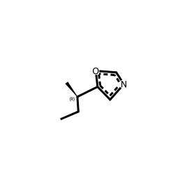 CC[C@@H](C)c1cnco1